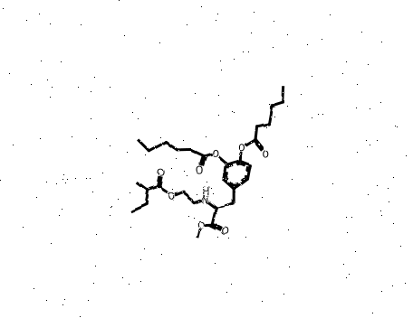 CCCCCC(=O)Oc1ccc(C[C@H](NCCOC(=O)C(C)CC)C(=O)OC)cc1OC(=O)CCCCC